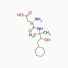 CC(C)(NC(=O)[C@@H](N)CC(=O)O)C(O)CC1CCCCC1